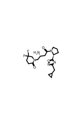 N[C@H](CC(=O)N1CCC[C@H]1c1nc(CC2CC2)no1)CN1CC(F)(F)CCC1=O